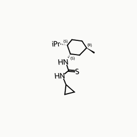 CC(C)[C@@H]1CC[C@@H](C)C[C@@H]1NC(=S)NC1CC1